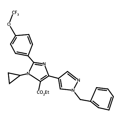 CCOC(=O)c1c(-c2cnn(Cc3ccccc3)c2)nc(-c2ccc(OC(F)(F)F)cc2)n1C1CC1